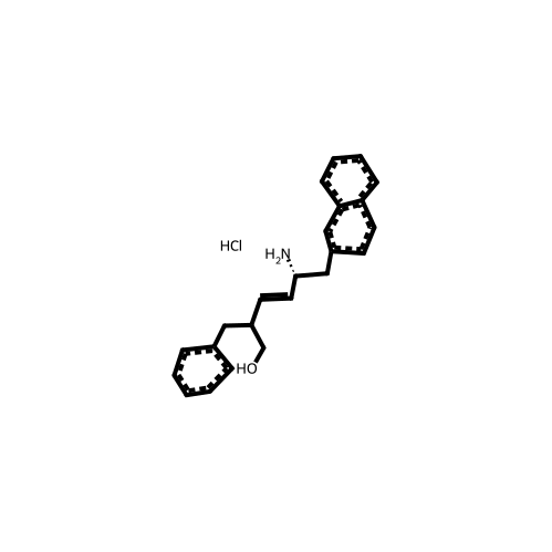 Cl.N[C@@H](C=CC(CO)Cc1ccccc1)Cc1ccc2ccccc2c1